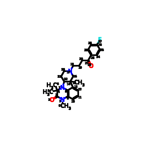 CN1C(=O)C(C)(C)N2c3c1cccc3C1(C)CN(CCCC(=O)c3ccc(F)cc3)CCC21